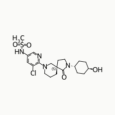 CS(=O)(=O)Nc1cnc(N2CCC[C@]3(CCN([C@H]4CC[C@H](O)CC4)C3=O)C2)c(Cl)c1